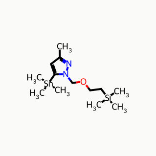 Cc1c[c]([Sn]([CH3])([CH3])[CH3])n(COCC[Si](C)(C)C)n1